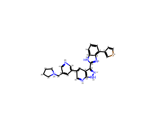 c1cc(-c2ccsc2)c2nc(-c3n[nH]c4ncc(-c5cncc(CN6CCCC6)c5)cc34)[nH]c2c1